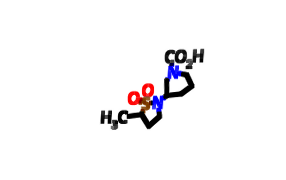 CC1CCN(C2CCCN(C(=O)O)C2)S1(=O)=O